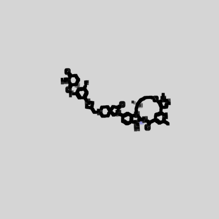 Cc1cc2cc(n1)-c1cnn(C)c1OCCC[C@@H](C)CN1/C(=N/C2=O)Nc2ccc(N3CC4(CCN(CC5CN(c6cc(F)c([C@H]7CCC(=O)NC7=O)c(F)c6)C5)CC4)CC3=O)cc21